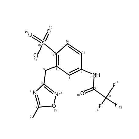 Cc1nc(Cc2cc(NC(=O)C(F)(F)F)ccc2S(=O)(=O)Cl)no1